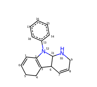 C1=CC2=C(CC1)C1C=CCNC1N2c1ccccc1